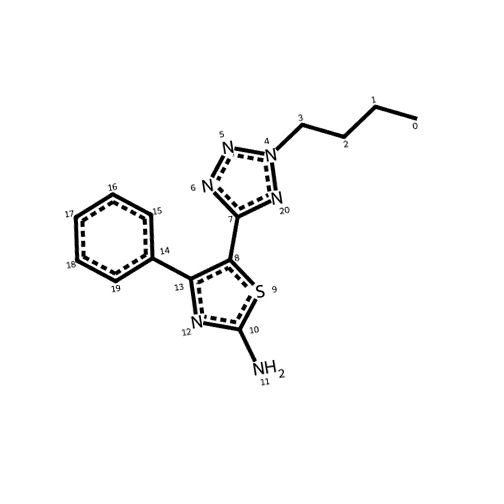 CCCCn1nnc(-c2sc(N)nc2-c2ccccc2)n1